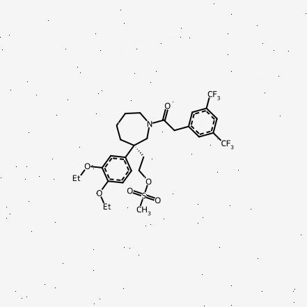 CCOc1ccc([C@@]2(CCOS(C)(=O)=O)CCCCN(C(=O)Cc3cc(C(F)(F)F)cc(C(F)(F)F)c3)C2)cc1OCC